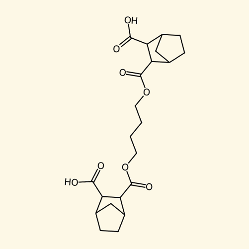 O=C(O)C1C2CCC(C2)C1C(=O)OCCCCOC(=O)C1C2CCC(C2)C1C(=O)O